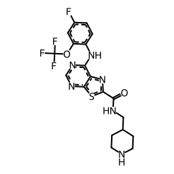 O=C(NCC1CCNCC1)c1nc2c(Nc3ccc(F)cc3OC(F)(F)F)ncnc2s1